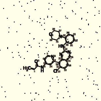 C=CC(=O)Nc1ccnc(-c2c(Cl)ccc3cnc(Nc4ccccc4N4CCOCC4)nc23)c1